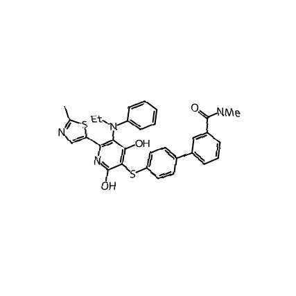 CCN(c1ccccc1)c1c(-c2cnc(C)s2)nc(O)c(Sc2ccc(-c3cccc(C(=O)NC)c3)cc2)c1O